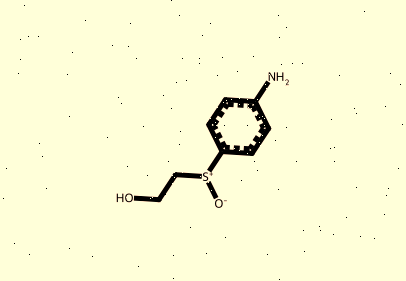 Nc1ccc([S+]([O-])CCO)cc1